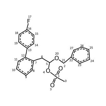 CS(=O)(=O)OC(Cc1ccccc1-c1ccc(F)cc1)OCc1ccccc1